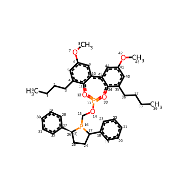 CCCCc1cc(OC)cc2c1op(OCP1C(c3ccccc3)CC[C@H]1c1ccccc1)oc1c(CCCC)cc(OC)cc12